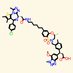 COc1cc([C@H](CC(=O)O)c2ccc(C)c(CN3C[C@@H](C)Oc4cc(CCCCCCNC(=O)C[C@@H]5N=C(c6ccc(Cl)cc6)c6c(sc(C)c6C)-n6c(C)nnc65)ccc4S3(=O)=O)c2)cc2nnn(C)c12